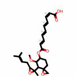 COC1C(OC(=O)/C=C/C=C/C=C/C=C\C(=O)O)CCC2(CO2)C1C1(C)OC1CC=C(C)C